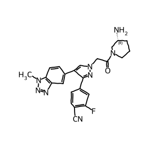 Cn1nnc2cc(-c3cn(CC(=O)N4CCC[C@@H](N)C4)nc3-c3ccc(C#N)c(F)c3)ccc21